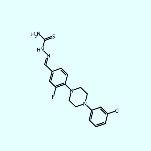 NC(=S)NN=Cc1ccc(N2CCN(c3cccc(Cl)c3)CC2)c(F)c1